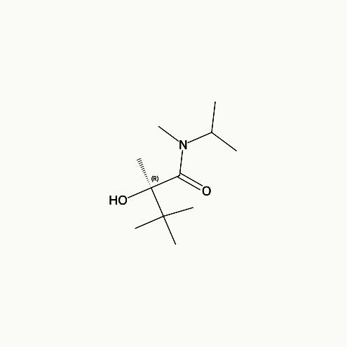 CC(C)N(C)C(=O)[C@](C)(O)C(C)(C)C